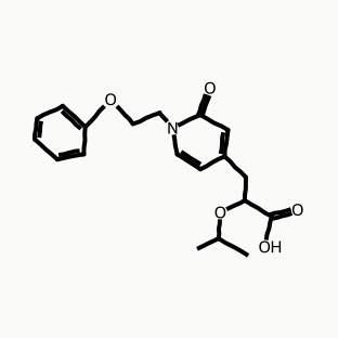 CC(C)OC(Cc1ccn(CCOc2ccccc2)c(=O)c1)C(=O)O